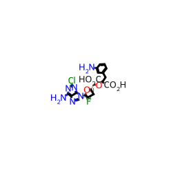 Nc1cccc(CC(OC[C@@H]2C[C@H](F)[C@H](n3cnc4c(N)nc(Cl)nc43)O2)(C(=O)O)C(=O)O)c1